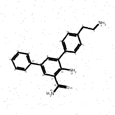 NCCc1ccc(-c2cc(-c3ccccc3)cc(C(N)=O)c2N)cc1